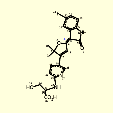 CC1(C)O/C(=C2/C(=O)Nc3ccc(F)cc32)C=C1c1ccc(N[C@H](CO)C(=O)O)nc1